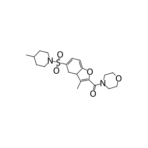 CC1=C(C(=O)N2CCOCC2)OC2=CC=C(S(=O)(=O)N3CCC(C)CC3)CC21